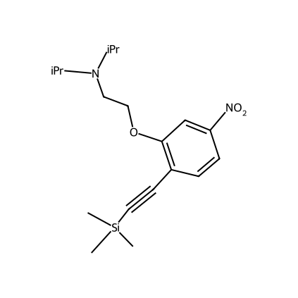 CC(C)N(CCOc1cc([N+](=O)[O-])ccc1C#C[Si](C)(C)C)C(C)C